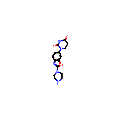 O=C1CCN(c2ccc3nc(N4CCNCC4)oc3c2)C(=O)N1